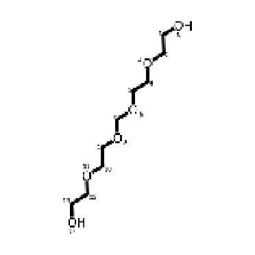 OCCOCCOCOCCOCCO